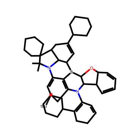 CC(C)(C)C1C=C2C3=C(C1)N(C1=C(C4CCCCC4)CCC=C1)C1C(OC4C=CC=CC41)B3C1C=C(C3CCCCC3)CC3C1N2C(C)(C)C31CCCCC1